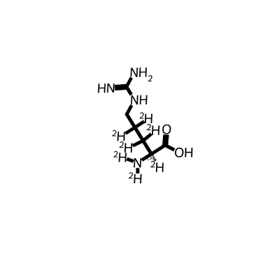 [2H]N([2H])[C@]([2H])(C(=O)O)C([2H])([2H])C([2H])([2H])CNC(=N)N